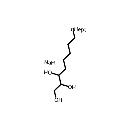 CCCCCCCCCCCCC(O)C(O)CO.[NaH]